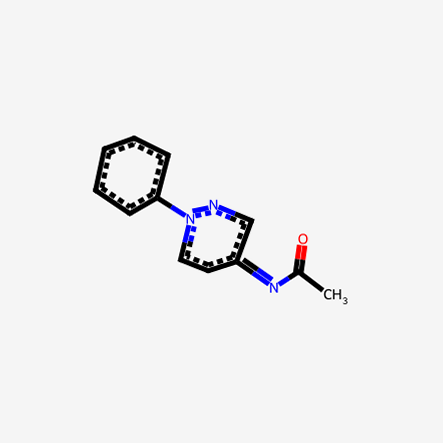 CC(=O)/N=c1/ccn(-c2ccccc2)nc1